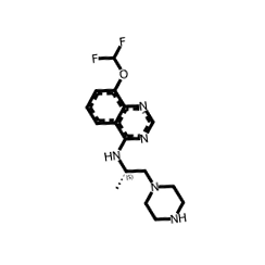 C[C@@H](CN1CCNCC1)Nc1ncnc2c(OC(F)F)cccc12